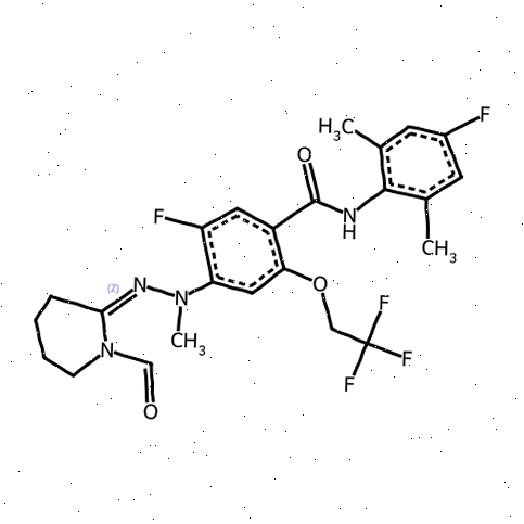 Cc1cc(F)cc(C)c1NC(=O)c1cc(F)c(N(C)/N=C2/CCCCN2C=O)cc1OCC(F)(F)F